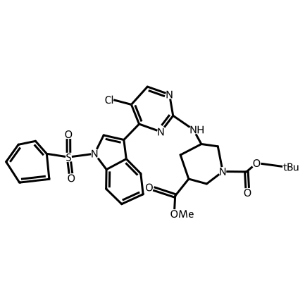 COC(=O)C1CC(Nc2ncc(Cl)c(-c3cn(S(=O)(=O)c4ccccc4)c4ccccc34)n2)CN(C(=O)OC(C)(C)C)C1